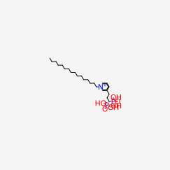 CCCCCCCCCCCCCCCC[n+]1cccc(CCC(P(=O)(O)O)P(=O)(O)O)c1